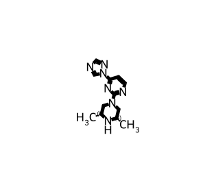 C[C@@H]1CN(c2nccc(-n3cncn3)n2)C[C@H](C)N1